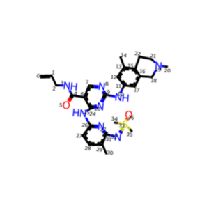 C=CCNC(=O)c1cnc(Nc2cc(C)c3c(c2)CN(C)CC3)nc1Nc1ccc(C)c(N=S(C)(C)=O)n1